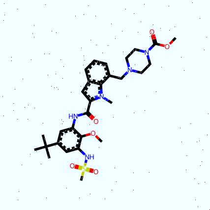 COC(=O)N1CCN(Cc2cccc3cc(C(=O)Nc4cc(C(C)(C)C)cc(NS(C)(=O)=O)c4OC)n(C)c23)CC1